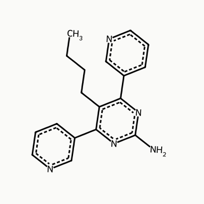 CCCCc1c(-c2cccnc2)nc(N)nc1-c1cccnc1